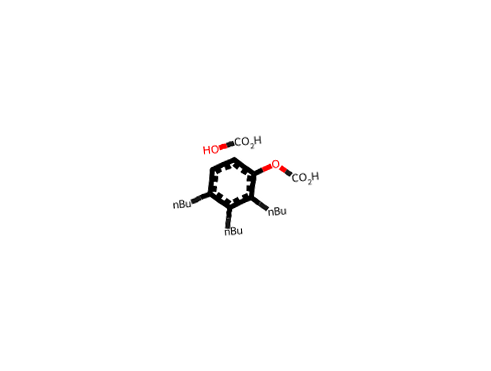 CCCCc1ccc(OC(=O)O)c(CCCC)c1CCCC.O=C(O)O